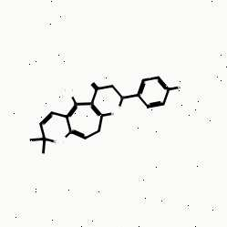 CC1(C)C=CC2=C(O)C3=C(CC=C2O1)OC(c1ccc(O)cc1)CC3=O